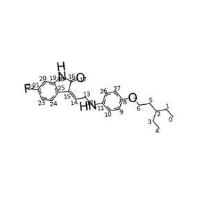 CCC(CC)CCOc1ccc(NC/C=C2\C(=O)Nc3cc(F)ccc32)cc1